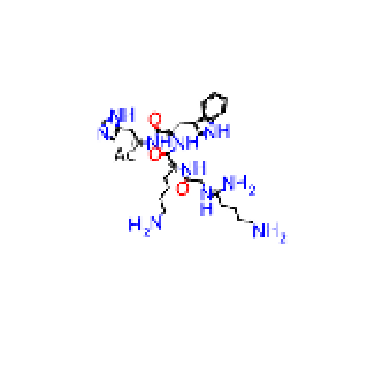 CC(=O)[C@H](Cc1cnc[nH]1)NC(=O)[C@H](Cc1c[nH]c2ccccc12)NC(=O)[C@H](CCCCN)NC(=O)CN[C@@H](N)CCCCN